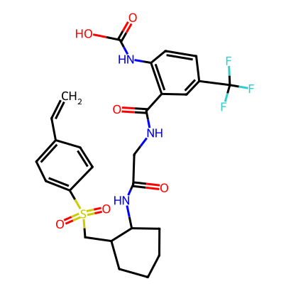 C=Cc1ccc(S(=O)(=O)CC2CCCCC2NC(=O)CNC(=O)c2cc(C(F)(F)F)ccc2NC(=O)O)cc1